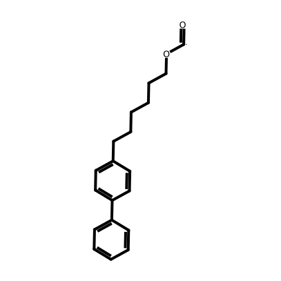 O=[C]OCCCCCCc1ccc(-c2ccccc2)cc1